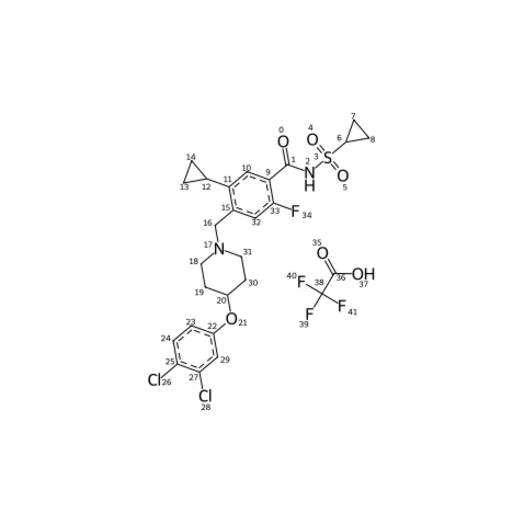 O=C(NS(=O)(=O)C1CC1)c1cc(C2CC2)c(CN2CCC(Oc3ccc(Cl)c(Cl)c3)CC2)cc1F.O=C(O)C(F)(F)F